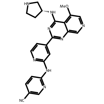 COc1cncc2nc(-c3ccnc(Nc4ccc(C#N)cn4)c3)nc(N[C@@H]3CCNC3)c12